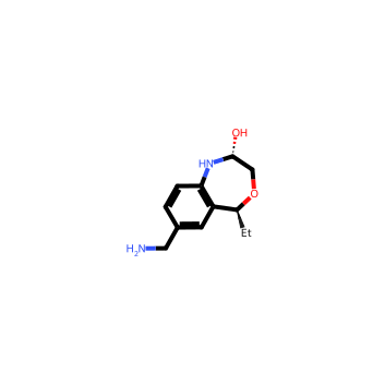 CC[C@@H]1OC[C@@H](O)Nc2ccc(CN)cc21